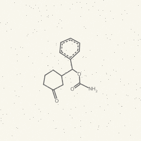 NC(=O)OC(c1ccccc1)C1CCCC(=O)C1